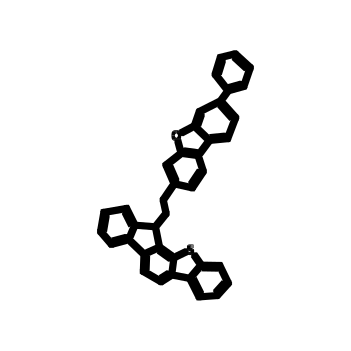 c1ccc(-c2ccc3c(c2)oc2cc(CCC4c5ccccc5-c5ccc6c(sc7ccccc76)c54)ccc23)cc1